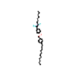 CCCCCCCCCCCc1ccc(COc2ccc(/C(F)=C(\F)CCCCCCC)cc2)cc1